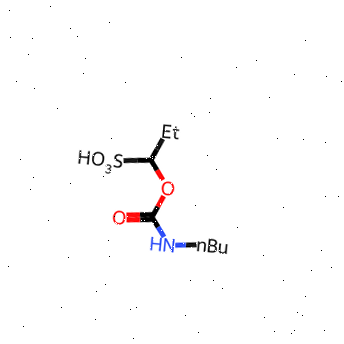 CCCCNC(=O)OC(CC)S(=O)(=O)O